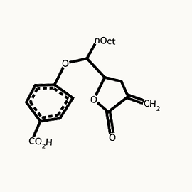 C=C1CC(C(CCCCCCCC)Oc2ccc(C(=O)O)cc2)OC1=O